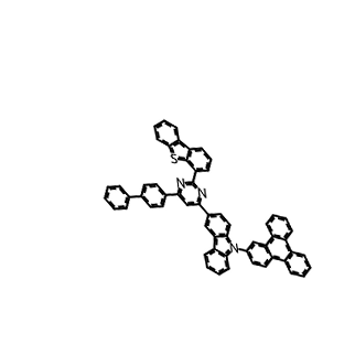 c1ccc(-c2ccc(-c3cc(-c4ccc5c(c4)c4ccccc4n5-c4ccc5c6ccccc6c6ccccc6c5c4)nc(-c4cccc5c4sc4ccccc45)n3)cc2)cc1